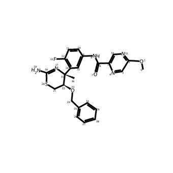 COc1cnc(C(=O)Nc2ccc(F)c([C@@]3(C)N=C(N)SC[C@@H]3OCc3ccccc3)c2)cn1